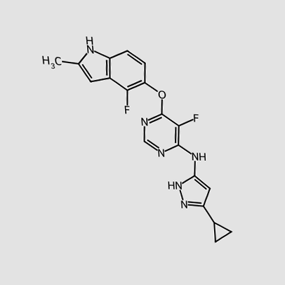 Cc1cc2c(F)c(Oc3ncnc(Nc4cc(C5CC5)n[nH]4)c3F)ccc2[nH]1